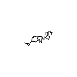 CCCC1CCC1n1cc2ccc(C3CC3C)cc2n1